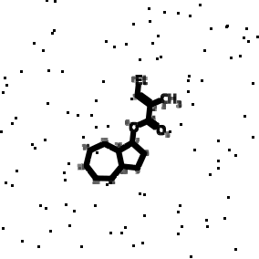 CCC=C(C)C(=O)OC1CCC2CCCCCC21